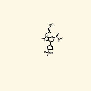 Cc1nc2c(-c3ccc(S(C)(=O)=O)cc3)cc(C(=O)N(C)C)cc2n1C/C(F)=C/CN